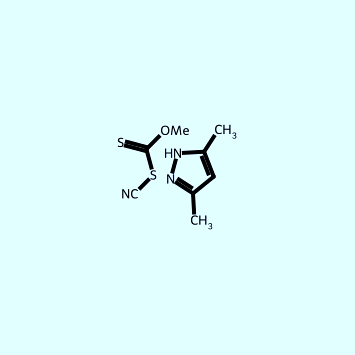 COC(=S)SC#N.Cc1cc(C)[nH]n1